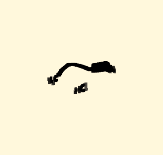 CCC#N.Cl